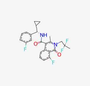 Cc1c(C(=O)N[C@H](c2cccc(F)c2)C2CC2)c2cccc(F)c2c(=O)n1CC(C)(F)F